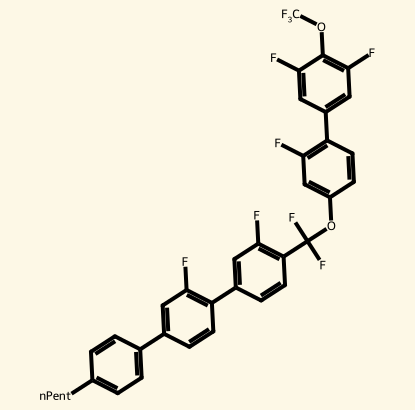 CCCCCc1ccc(-c2ccc(-c3ccc(C(F)(F)Oc4ccc(-c5cc(F)c(OC(F)(F)F)c(F)c5)c(F)c4)c(F)c3)c(F)c2)cc1